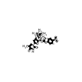 Cc1cn([C@H]2CC(O[Si](C)(C)C(C)(C)C)[C@@H](COC(=O)Oc3ccc([N+](=O)[O-])cc3)O2)c(=O)[nH]c1=O